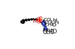 O=CCN(CC=O)CCN(CC=O)CC(COP(=O)(O)OCCCCCCCCCCc1ccccc1)N(CC(=O)O)CC(=O)O